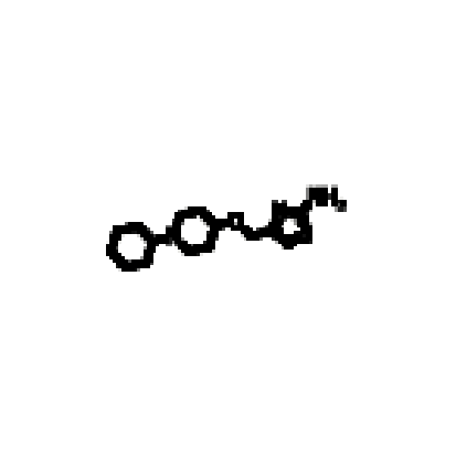 Nc1nc(COC2CCN(C3CCCCC3)CC2)cs1